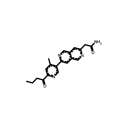 CCCC(=O)c1cc(C)c(-c2cc3cnc(CC(N)=O)cc3cn2)cn1